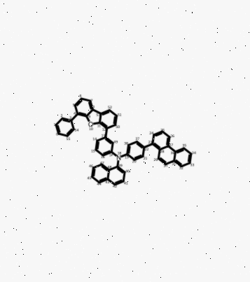 c1ccc(-c2cccc3c2oc2c(-c4cccc(N(c5ccc(-c6cccc7c6ccc6ccccc67)cc5)c5cccc6ccccc56)c4)cccc23)cc1